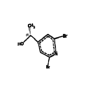 C[C@@H](O)c1cc(Br)nc(Br)c1